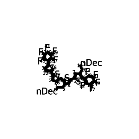 CCCCCCCCCCCCc1cc(-c2cc(CCCCCCCCCCCC)c(-c3c(F)c(F)c(F)c(F)c3F)s2)sc1-c1ccc(-c2ccc(-c3c(F)c(F)c(F)c(F)c3F)s2)s1